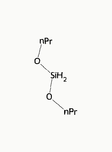 CCCO[SiH2]OCCC